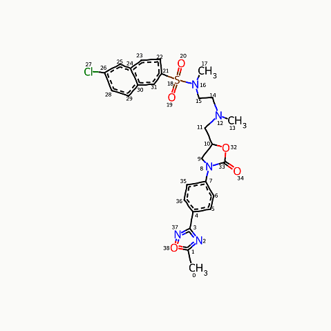 Cc1nc(-c2ccc(N3CC(CN(C)CCN(C)S(=O)(=O)c4ccc5cc(Cl)ccc5c4)OC3=O)cc2)no1